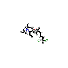 CCC(N([Si](C)(C)C)[Si](C)(C)C)[Si](C)(C)O[Si](C)(C)CCC[Si](C)(Cl)Cl